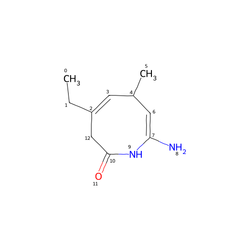 CC/C1=C/C(C)/C=C(/N)NC(=O)C1